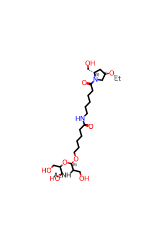 CCO[C@@H]1C[C@@H](CO)N(C(=O)CCCCCNC(=O)CCCCCO[C@H](OC(CO)CO)C(CO)NC(C)=O)C1